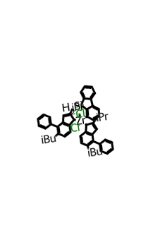 CCC(C)c1ccc2c(c1-c1ccccc1)C=C(C(C)C)[CH]2[Zr]([Cl])([Cl])([c]1cccc2c1[SiH2]c1ccccc1-2)[CH]1C(C(C)C)=Cc2c1ccc(C(C)CC)c2-c1ccccc1